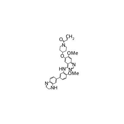 C=CC(=O)N1CCC(Oc2cc3c(Nc4cc(-c5ccc6c(c5)NCC=N6)ccc4OC)ncnc3cc2OC)CC1